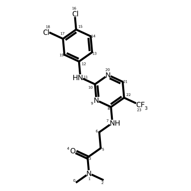 CN(C)C(=O)CCNc1nc(Nc2ccc(Cl)c(Cl)c2)ncc1C(F)(F)F